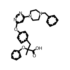 CC(Cc1ccc(Oc2cc(N3CCN(Cc4ccccc4)CC3)ncn2)cc1)(Oc1ccccc1)C(=O)O